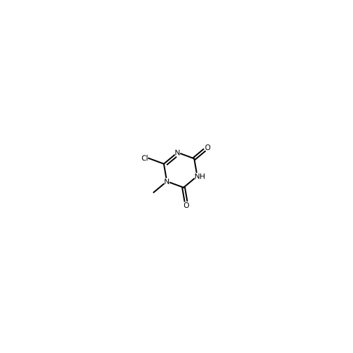 Cn1c(Cl)nc(=O)[nH]c1=O